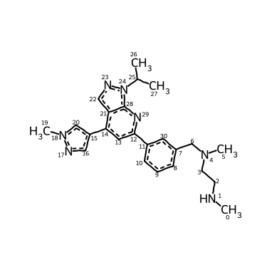 CNCCN(C)Cc1cccc(-c2cc(-c3cnn(C)c3)c3cnn(C(C)C)c3n2)c1